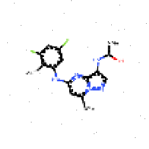 CNc1cc(Nc2cc(F)cc(F)c2OC)nc2c(NC(O)NC)cnn12